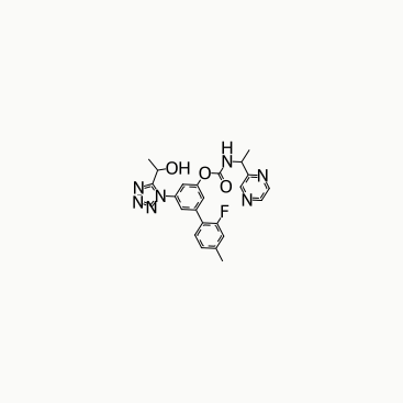 Cc1ccc(-c2cc(OC(=O)NC(C)c3cnccn3)cc(-n3nnnc3C(C)O)c2)c(F)c1